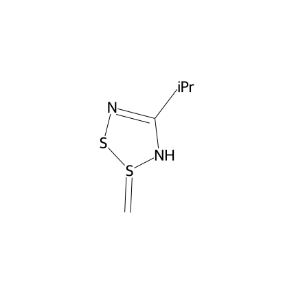 C=S1NC(C(C)C)=NS1